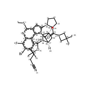 CSc1nc2c(F)c(Br)c(CCC#N)cc2c2c1cc([C@H]1CCCN1C(=O)N1CC(F)(F)C1)n2[C@H]1[C@@H]2C[C@H]1N(C(=O)OC(C)(C)C)C2